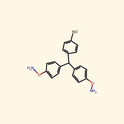 NOc1ccc(C(c2ccc(N=O)cc2)c2ccc(ON)cc2)cc1